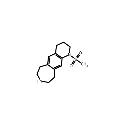 CS(=O)(=O)N1CCCc2cc3c(cc21)CCNCC3